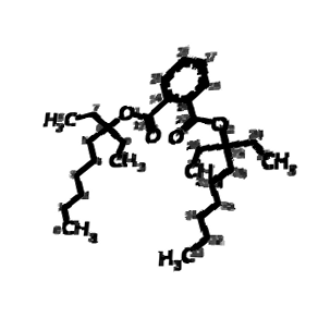 CCCCCCC(CC)(CC)OC(=O)c1ccccc1C(=O)OC(CC)(CC)CCCCCC